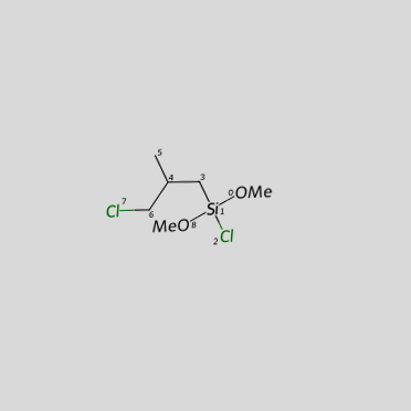 CO[Si](Cl)(CC(C)CCl)OC